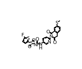 CSc1ccc2c(c1)C(=O)N(c1ccc(NC(=O)NS(=O)(=O)c3ccc(F)s3)cn1)C(=O)C2